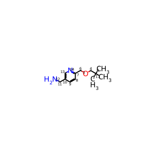 CC(C)(C)COCc1ccc(CN)cn1